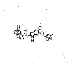 Cc1cc(COc2cc3[nH]c(CNC(=O)[C@H]4C[C@@H]5CC[C@H]4O5)cc3cc2Cl)on1